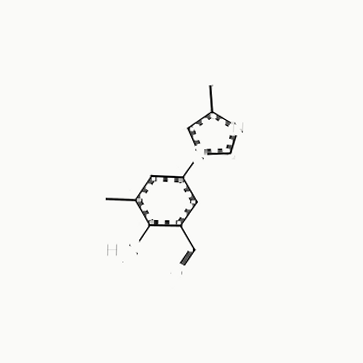 Cc1cn(-c2cc(C)c(N)c(C=O)c2)cn1